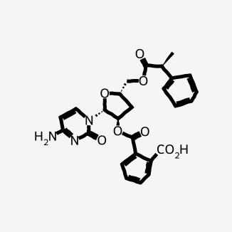 C[C@H](C(=O)OC[C@@H]1C[C@@H](OC(=O)c2ccccc2C(=O)O)[C@H](n2ccc(N)nc2=O)O1)c1ccccc1